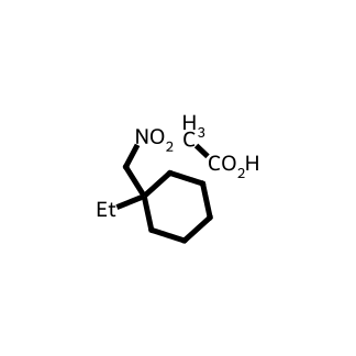 CC(=O)O.CCC1(C[N+](=O)[O-])CCCCC1